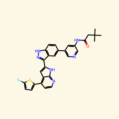 CC(C)(C)CC(=O)Nc1cncc(-c2ccc3[nH]nc(-c4cc5c(-c6ccc(F)s6)ccnc5[nH]4)c3c2)c1